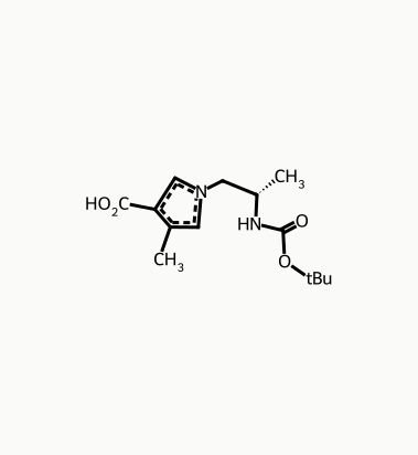 Cc1cn(C[C@H](C)NC(=O)OC(C)(C)C)cc1C(=O)O